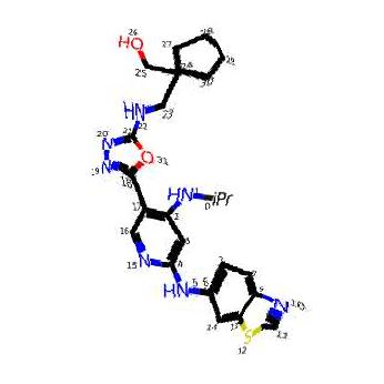 CC(C)Nc1cc(Nc2ccc3ncsc3c2)ncc1-c1nnc(NCC2(CO)CCCC2)o1